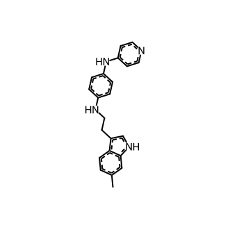 Cc1ccc2c(CCNc3ccc(Nc4ccncc4)cc3)c[nH]c2c1